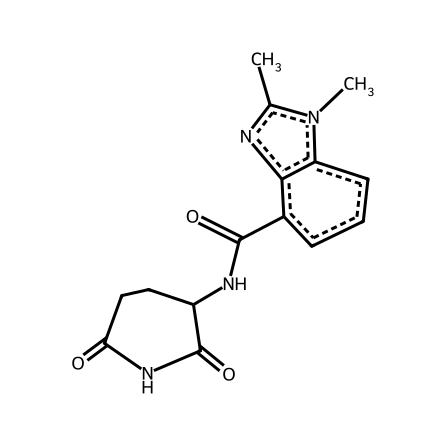 Cc1nc2c(C(=O)NC3CCC(=O)NC3=O)cccc2n1C